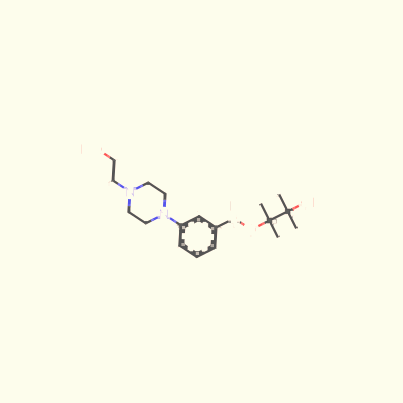 CC(C)(O)C(C)(C)OBc1cccc(N2CCN(CCO)CC2)c1